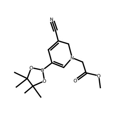 COC(=O)CN1C=C(B2OC(C)(C)C(C)(C)O2)C=C(C#N)C1